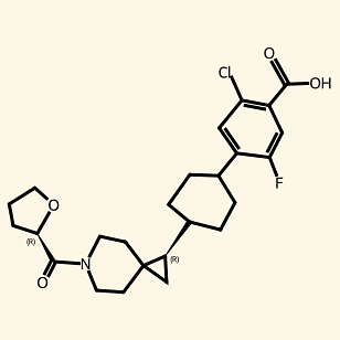 O=C(O)c1cc(F)c(C2CCC([C@H]3CC34CCN(C(=O)[C@H]3CCCO3)CC4)CC2)cc1Cl